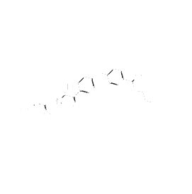 COC(=O)O/N=C(\C)C(=O)c1ccc(Sc2ccc(C(=O)OCCO)cc2)cc1